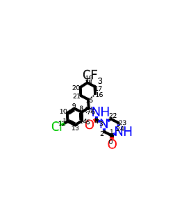 O=C1CN(C(=O)N[C@H](c2ccc(Cl)cc2)[C@H]2CC[C@H](C(F)(F)F)CC2)CCN1